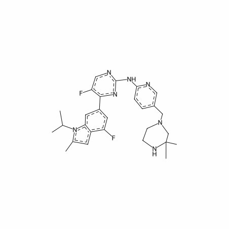 Cc1cc2c(F)cc(-c3nc(Nc4ccc(CN5CCNC(C)(C)C5)cn4)ncc3F)cc2n1C(C)C